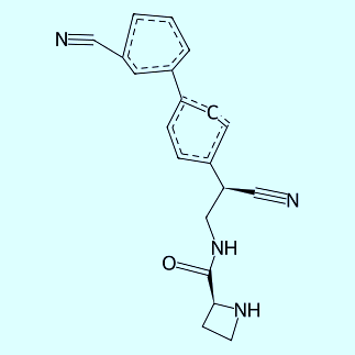 N#Cc1cccc(-c2ccc([C@@H](C#N)CNC(=O)[C@@H]3CCN3)cc2)c1